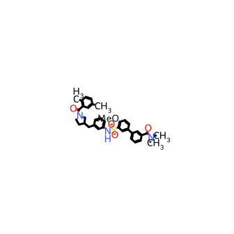 COc1ccc(-c2cccc(C(=O)N(C)C)c2)cc1S(=O)(=O)Nc1cccc(CC2CCN(C(=O)c3cc(C)ccc3C)C2)c1